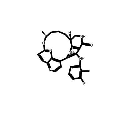 Cc1c(F)cccc1Nc1c2[nH]c3c1C(=O)NC[C@H]3CCC[C@H](C)Oc1ccc3nccc-2c3n1